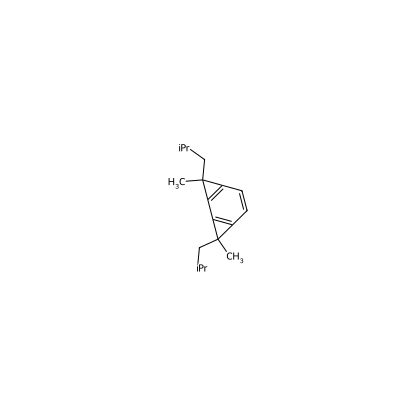 CC(C)CC1(C)c2ccc3c(c21)C3(C)CC(C)C